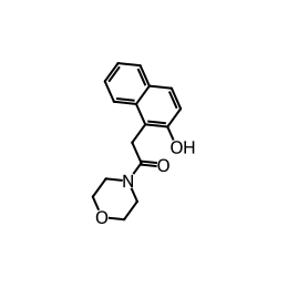 O=C(Cc1c(O)ccc2ccccc12)N1CCOCC1